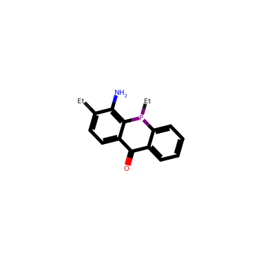 CCc1ccc2c(=O)c3ccccc3p(CC)c2c1N